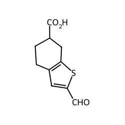 O=Cc1cc2c(s1)CC(C(=O)O)CC2